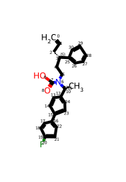 C=CC[C@@H](CCN(C(=O)O)[C@@H](C)c1ccc(-c2ccc(F)cc2)cc1)c1ccccc1